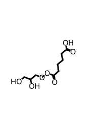 O=C(O)CCCCC(=O)OOCC(O)CO